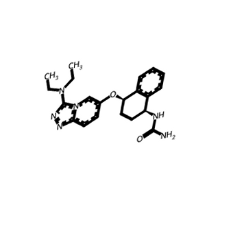 CCN(CC)c1nnc2ccc(O[C@@H]3CC[C@H](NC(N)=O)c4ccccc43)cn12